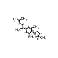 C=C(C)CCC(=C)c1cc(C)c(N2CCC(C)(F)C2)c(N)c1